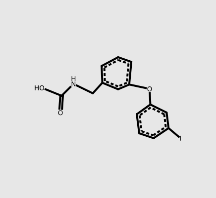 O=C(O)NCc1cccc(Oc2cccc(I)c2)c1